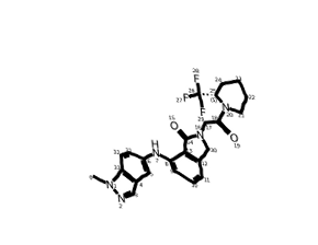 Cn1ncc2cc(Nc3cccc4c3C(=O)N(CC(=O)N3CCCC[C@H]3C(F)(F)F)C4)ccc21